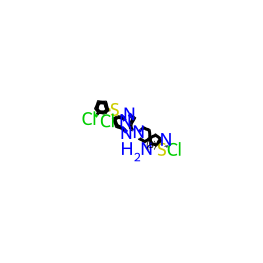 N[C@@H]1c2sc(Cl)nc2CC12CCN(c1nc3ccc(Sc4cccc(Cl)c4Cl)c4ncc1n34)CC2